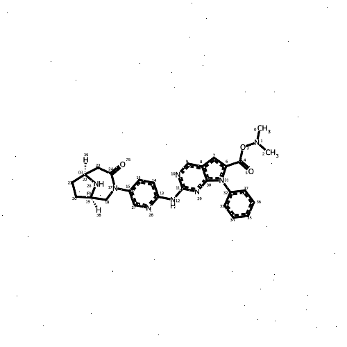 CN(C)OC(=O)c1cc2cnc(Nc3ccc(N4C[C@H]5CC[C@@H](CC4=O)N5)cn3)nc2n1-c1ccccc1